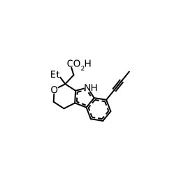 CC#Cc1cccc2c3c([nH]c12)C(CC)(CC(=O)O)OCC3